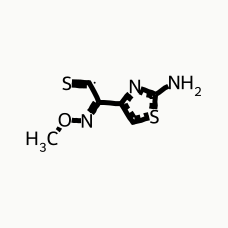 CON=C([C]=S)c1csc(N)n1